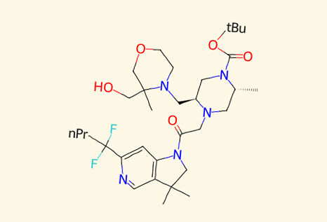 CCCC(F)(F)c1cc2c(cn1)C(C)(C)CN2C(=O)CN1C[C@@H](C)N(C(=O)OC(C)(C)C)C[C@@H]1CN1CCOCC1(C)CO